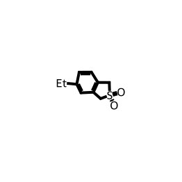 CCc1ccc2c(c1)CS(=O)(=O)C2